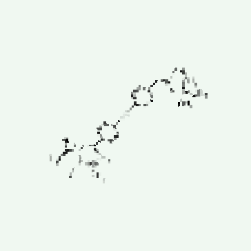 C=C(CC(C(=C)N)C(=C)NC)c1ccc(C#Cc2ccc(CN(C)CC(C)(C)C)cc2)cc1